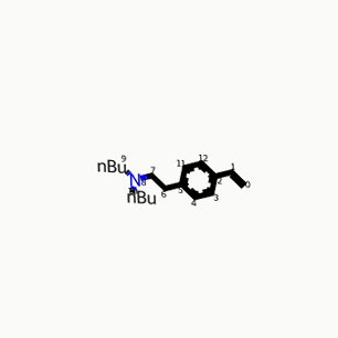 C=Cc1ccc(CCN(CCCC)CCCC)cc1